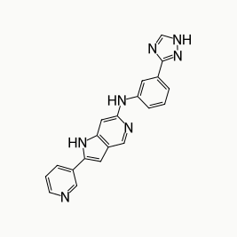 c1cc(Nc2cc3[nH]c(-c4cccnc4)cc3cn2)cc(-c2nc[nH]n2)c1